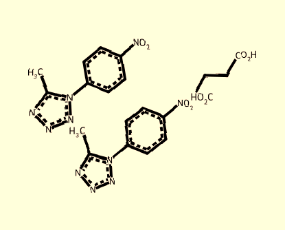 Cc1nnnn1-c1ccc([N+](=O)[O-])cc1.Cc1nnnn1-c1ccc([N+](=O)[O-])cc1.O=C(O)CCC(=O)O